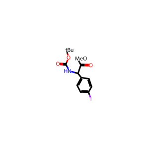 COC(=O)C(NC(=O)OC(C)(C)C)c1ccc(I)cc1